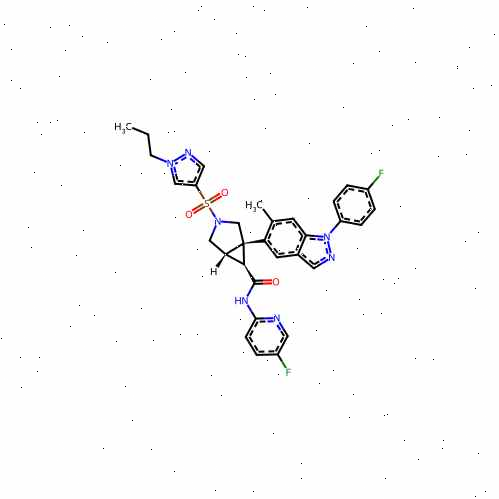 CCCn1cc(S(=O)(=O)N2C[C@H]3[C@H](C(=O)Nc4ccc(F)cn4)[C@@]3(c3cc4cnn(-c5ccc(F)cc5)c4cc3C)C2)cn1